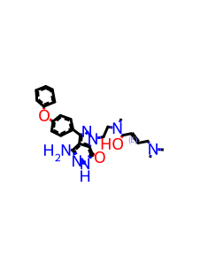 CN(C)C/C=C/C(O)N(C)CCn1nc(-c2ccc(Oc3ccccc3)cc2)c2c(N)n[nH]c(=O)c21